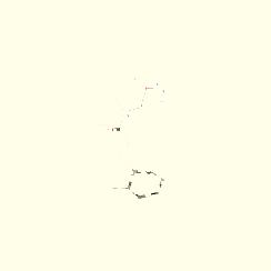 CNC(=O)CN(C)C(=O)COc1ccccc1C